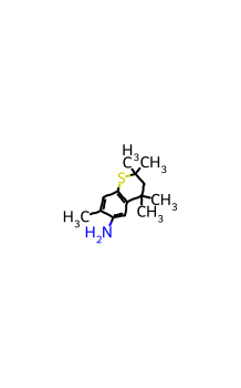 Cc1cc2c(cc1N)C(C)(C)CC(C)(C)S2